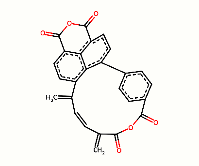 C=C1/C=C\C(=C)c2ccc3c4c(ccc(c24)-c2ccc(cc2)C(=O)OC1=O)C(=O)OC3=O